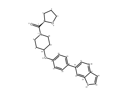 O=C([C@H]1CCCO1)N1CCC(Oc2ccc(-c3cnc4ccsc4c3)cc2)CC1